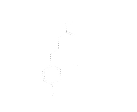 O=C(O)C(=O)CCCc1ccc(Cl)cc1.[CaH2]